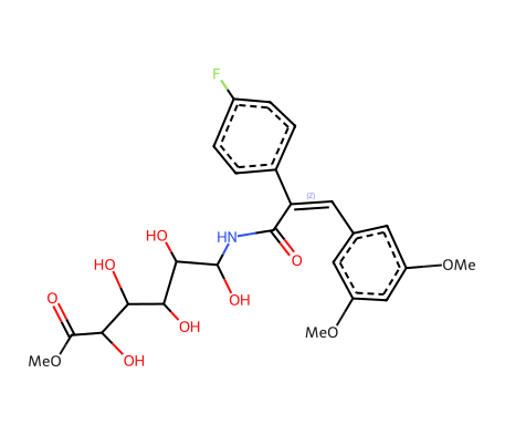 COC(=O)C(O)C(O)C(O)C(O)C(O)NC(=O)/C(=C\c1cc(OC)cc(OC)c1)c1ccc(F)cc1